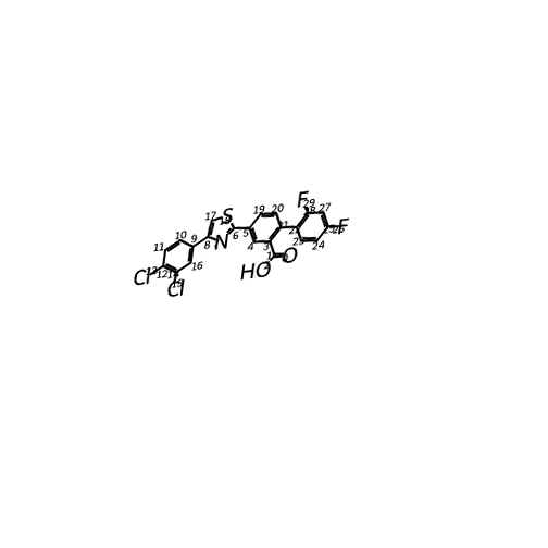 O=C(O)c1cc(-c2nc(-c3ccc(Cl)c(Cl)c3)cs2)ccc1-c1ccc(F)cc1F